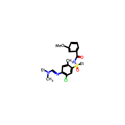 CCN(C)C=Nc1cc(C)c(S(=O)(CC)=NC(=O)c2cccc(OC)c2)cc1Cl